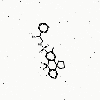 Cc1cc2c(cc1S(=O)(=O)NCC(O)c1ccccc1)S(=O)(=O)c1ccccc1C21CCCC1